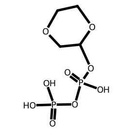 O=P(O)(O)OP(=O)(O)OC1COCCO1